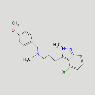 COc1ccc(CN(C)CCCc2c3c(Br)cccc3nn2C)cc1